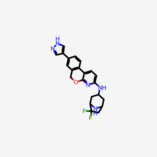 FC1(F)CC2CC(Nc3ccc4c(n3)OCc3cc(-c5cn[nH]c5)ccc3-4)CC1N2